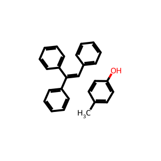 C(=C(c1ccccc1)c1ccccc1)c1ccccc1.Cc1ccc(O)cc1